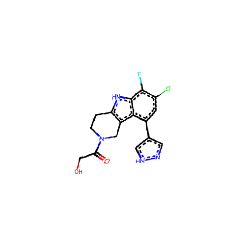 O=C(CO)N1CCc2[nH]c3c(F)c(Cl)cc(-c4cn[nH]c4)c3c2C1